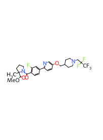 COC(=O)C1(C)CCCN1C(=O)c1ccc(-c2ccc(OCC3CCN(CC(F)(F)C(F)(F)F)CC3)cn2)cc1F